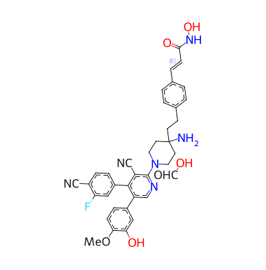 COc1ccc(-c2cnc(N3CCC(N)(CCc4ccc(/C=C/C(=O)NO)cc4)CC3)c(C#N)c2-c2ccc(C#N)c(F)c2)cc1O.O=CO